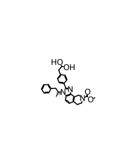 COC(=O)N1CCc2ccc3c(nc(-c4ccc(CC(O)O)cc4)n3[C@@H](C)Cc3ccccc3)c2C1